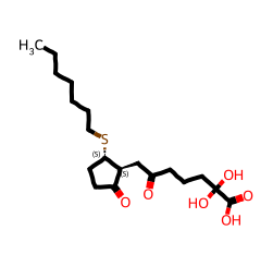 CCCCCCCS[C@H]1CCC(=O)[C@@H]1CC(=O)CCCC(O)(O)C(=O)O